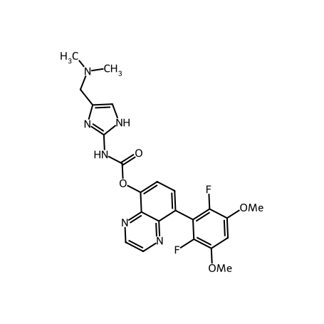 COc1cc(OC)c(F)c(-c2ccc(OC(=O)Nc3nc(CN(C)C)c[nH]3)c3nccnc23)c1F